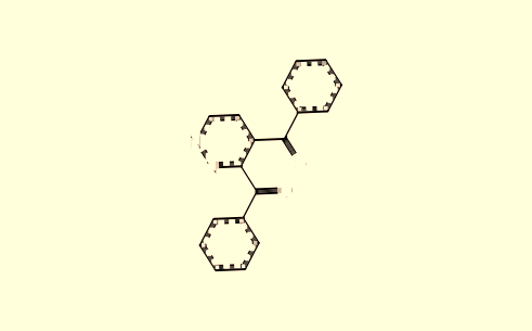 O=C(c1ccccc1)c1ccnnc1C(=O)c1ccccc1